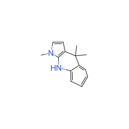 Cn1ccc2c1Nc1ccccc1C2(C)C